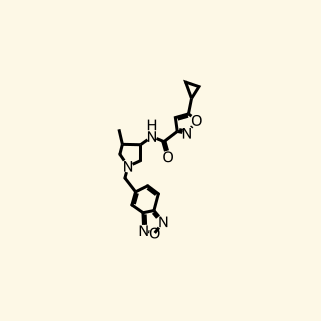 CC1CN(Cc2ccc3nonc3c2)CC1NC(=O)c1cc(C2CC2)on1